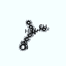 C=C/C(=C\C=C\C1=NC(c2ccc(-c3ccccc3)cc2)NC(C2=CC=C(C3=CC=C(C4=NC5=C(/C=C\C/C=C\C=N/C5)CC4)CC3)CC2)=N1)c1ccccc1